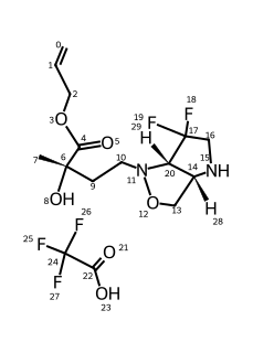 C=CCOC(=O)[C@@](C)(O)CCN1OC[C@H]2NCC(F)(F)[C@H]21.O=C(O)C(F)(F)F